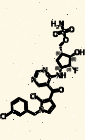 NS(=O)(=O)OC[C@H]1C[C@@H](Nc2ncncc2C(=O)c2ccn(Cc3cccc(Cl)c3)c2Cl)[C@@H](F)[C@@H]1O